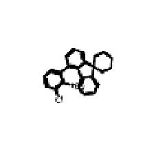 CC(C)(C)c1c(Cl)cccc1-c1cccc2c1-c1ccccc1C21CCCCC1